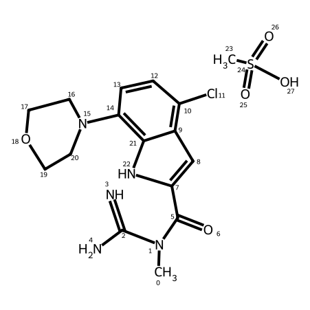 CN(C(=N)N)C(=O)c1cc2c(Cl)ccc(N3CCOCC3)c2[nH]1.CS(=O)(=O)O